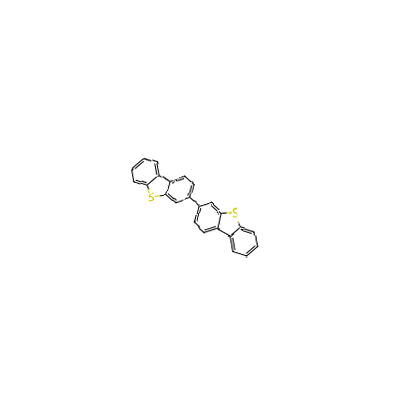 c1ccc2c(c1)sc1cc(-c3ccc4c(c3)sc3ccccc34)ccc12